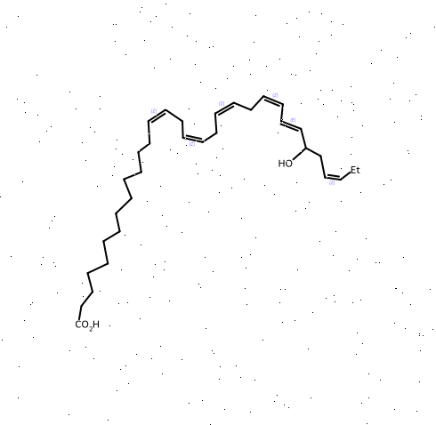 CC/C=C\CC(O)/C=C/C=C\C/C=C\C/C=C\C/C=C\CCCCCCCCCCCCC(=O)O